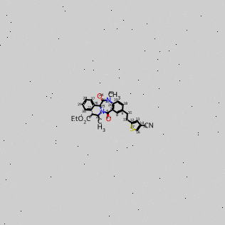 CCOC(=O)CC(C)N1C(=O)c2cc(CCc3cc(C#N)cs3)ccc2N(C)C(=O)C1c1ccccc1